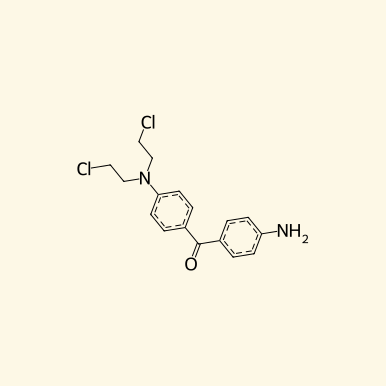 Nc1ccc(C(=O)c2ccc(N(CCCl)CCCl)cc2)cc1